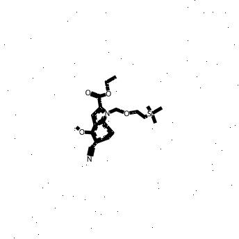 CCOC(=O)c1cc2c(OC)c(C#N)ccc2n1COCC[Si](C)(C)C